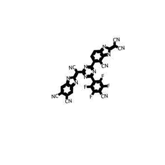 N#CC(C#N)=C1N=c2ccc(-c3nc(C(C#N)=C4N=c5cc(C#N)c(C#N)cc5=N4)nc(-c4c(F)c(F)c(C#N)c(F)c4F)n3)c(C#N)c2=N1